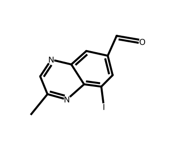 Cc1cnc2cc(C=O)cc(I)c2n1